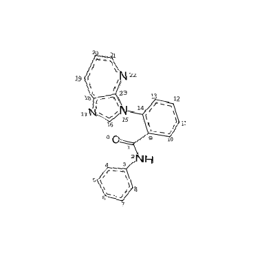 O=C(Nc1ccccc1)c1ccccc1-n1cnc2cccnc21